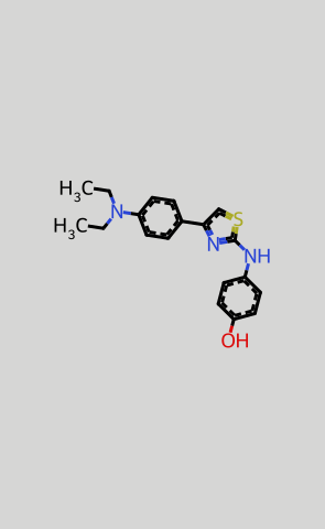 CCN(CC)c1ccc(-c2csc(Nc3ccc(O)cc3)n2)cc1